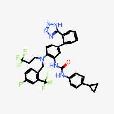 O=C(Nc1ccc(C2CC2)cc1)Nc1cc(-c2ccccc2-c2nnn[nH]2)ccc1N(CCC(F)(F)F)Cc1ccc(F)cc1C(F)(F)F